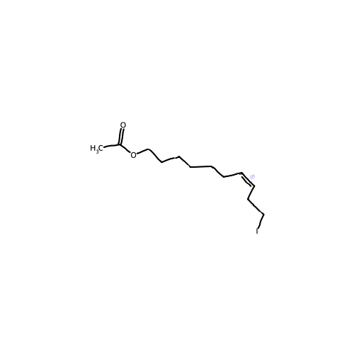 CC(=O)OCCCCCC/C=C\CCI